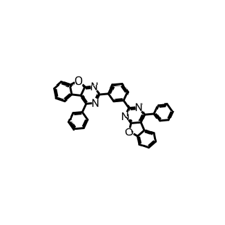 c1ccc(-c2nc(-c3cccc(-c4nc(-c5ccccc5)c5c(n4)oc4ccccc45)c3)nc3oc4ccccc4c23)cc1